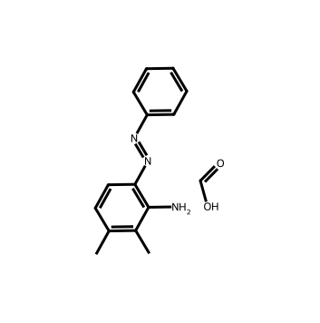 Cc1ccc(N=Nc2ccccc2)c(N)c1C.O=CO